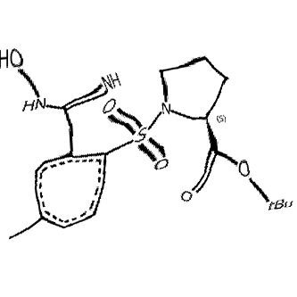 Cc1ccc(S(=O)(=O)N2CCC[C@H]2C(=O)OC(C)(C)C)c(C(=N)NO)c1